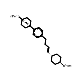 CCCCCC12CCC(c3ccc(CCC=C[C@H]4CC[C@H](CCCCC)CC4)cc3)(CC1)CC2